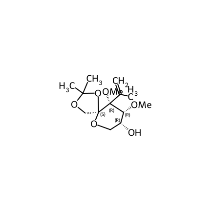 C=C(C)[C@@]1(OC)[C@H](OC)[C@H](O)CO[C@]12COC(C)(C)O2